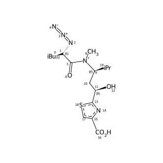 CC[C@H](C)[C@H](N=[N+]=[N-])C(=O)N(C)[C@H](C[C@@H](O)c1nc(C(=O)O)cs1)C(C)C